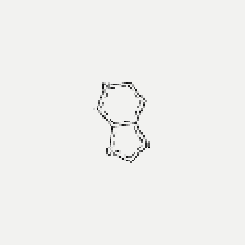 [c]1nccc2ncoc12